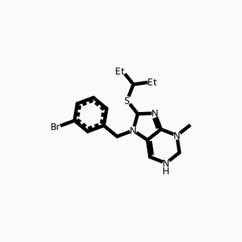 CCC(CC)SC1N=C2C(=CNCN2C)N1Cc1cccc(Br)c1